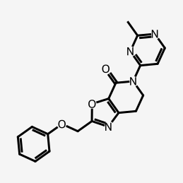 Cc1nccc(N2CCc3nc(COc4ccccc4)oc3C2=O)n1